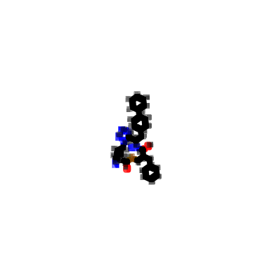 CC(=O)SCC(Cc1ccccc1)C(=O)NC(Cc1ccc(-c2ccccc2)cc1)c1nnnn1CCC#N